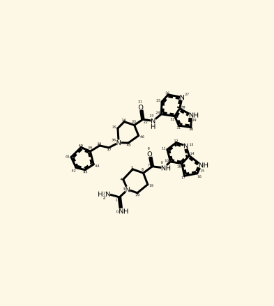 N=C(N)N1CCC(C(=O)Nc2ccnc3[nH]ccc23)CC1.O=C(Nc1ccnc2[nH]ccc12)C1CCN(CCc2ccccc2)CC1